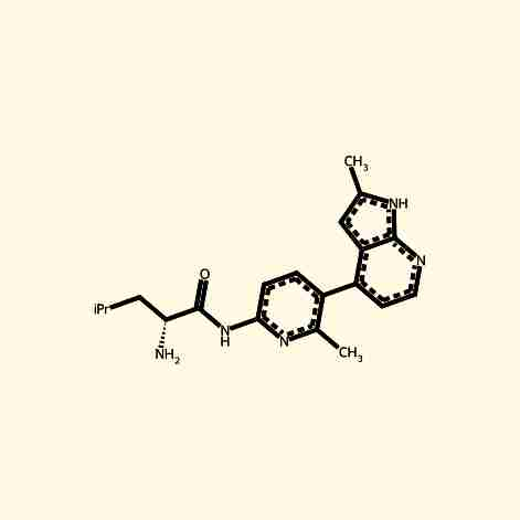 Cc1cc2c(-c3ccc(NC(=O)[C@H](N)CC(C)C)nc3C)ccnc2[nH]1